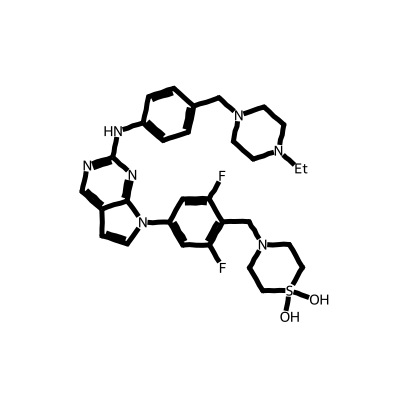 CCN1CCN(Cc2ccc(Nc3ncc4ccn(-c5cc(F)c(CN6CCS(O)(O)CC6)c(F)c5)c4n3)cc2)CC1